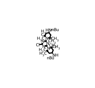 CCCCNC1CC(C)(C)N(c2nc(Cl)nc(N3C(C)(C)CC(NCCCC)CC3(C)C)n2)C(C)(C)C1